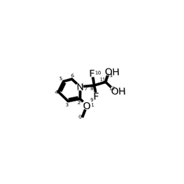 COC1=CC=CCN1C(F)(F)C(O)O